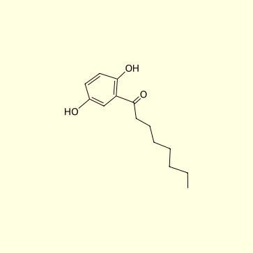 CCCCCCCC(=O)c1cc(O)ccc1O